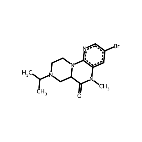 CC(C)N1CCN2c3ncc(Br)cc3N(C)C(=O)C2C1